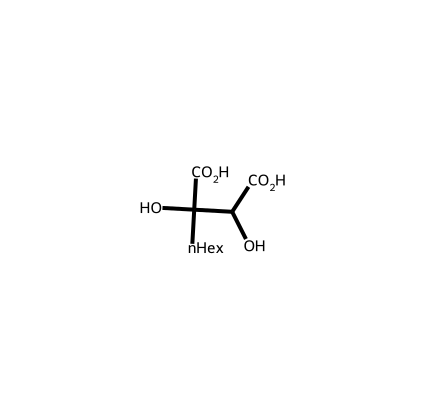 CCCCCCC(O)(C(=O)O)C(O)C(=O)O